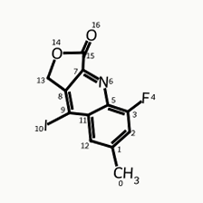 Cc1cc(F)c2nc3c(c(I)c2c1)COC3=O